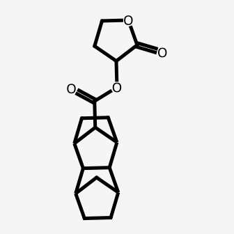 O=C1OCCC1OC(=O)C1C2CCC1C1C3CCC(C3)C21